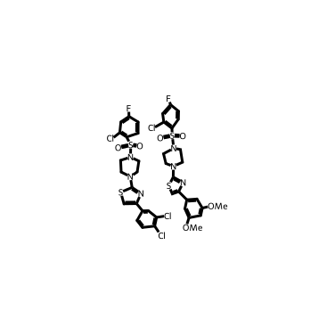 COc1cc(OC)cc(-c2csc(N3CCN(S(=O)(=O)c4ccc(F)cc4Cl)CC3)n2)c1.O=S(=O)(c1ccc(F)cc1Cl)N1CCN(c2nc(-c3ccc(Cl)c(Cl)c3)cs2)CC1